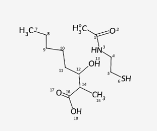 CC(=O)NCCS.CCCCCC(O)C(C)C(=O)O